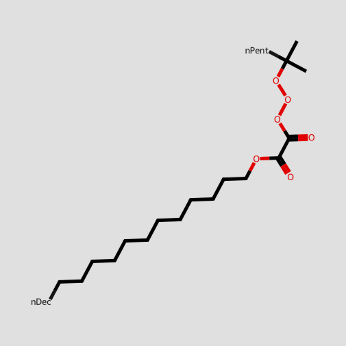 CCCCCCCCCCCCCCCCCCCCCCOC(=O)C(=O)OOOC(C)(C)CCCCC